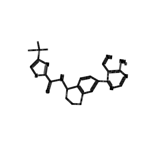 CC(C)(C)c1csc(C(=O)NC2CCCc3cc(-c4ncnc(N)c4C=N)ccc32)n1